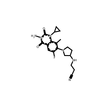 Cc1c(N2CCC(NCCC#N)C2)c(F)cc2c(=O)n(N)c(=O)n(C3CC3)c12